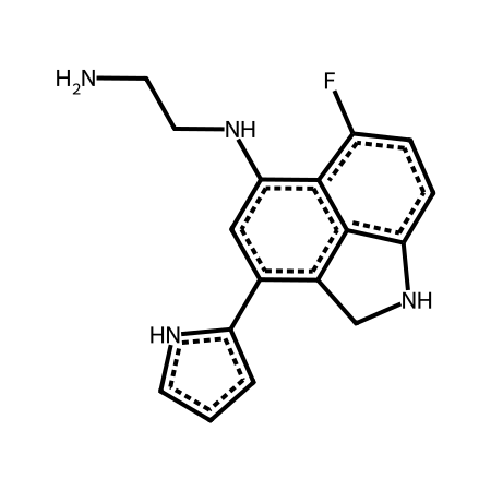 NCCNc1cc(-c2ccc[nH]2)c2c3c(ccc(F)c13)NC2